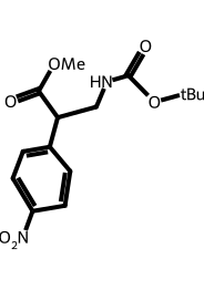 COC(=O)C(CNC(=O)OC(C)(C)C)c1ccc([N+](=O)[O-])cc1